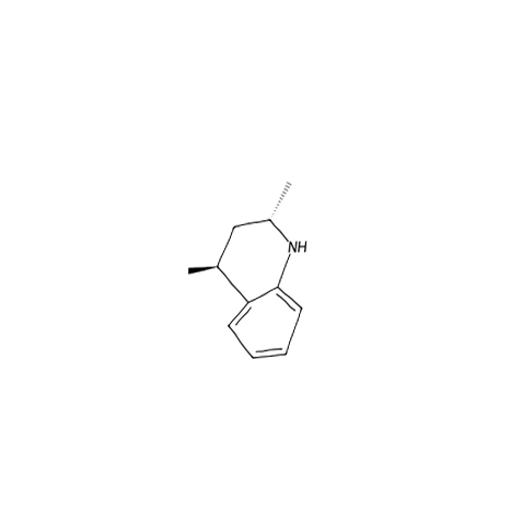 C[C@H]1C[C@H](C)c2ccccc2N1